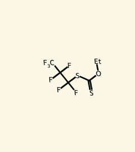 CCOC(=S)SC(F)(F)C(F)(F)C(F)(F)F